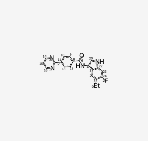 CCc1cc2c(NC(=O)c3ccc(-c4ncccn4)cc3)c[nH]c2cc1F